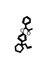 C=CCC1(c2ccc(OC(C(C)=O)c3ccccc3)cc2)CCCCC1